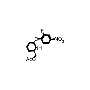 CC(=O)OC[C@H]1CCC[C@H](Oc2ccc([N+](=O)[O-])cc2F)N1